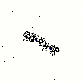 C/C(=C\c1ccc(O[C@@H]2O[C@H](/C(C)=C/S(=O)(=O)Nc3ccccc3)[C@@H](O)[C@@H]2O)c(O)c1)C(=O)N[C@@H]1[C@H](O)[C@@H](O)[C@H]2OCO[C@H]2[C@@H]1O